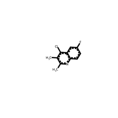 Cc1nc2ccc(F)cc2c(Cl)c1C